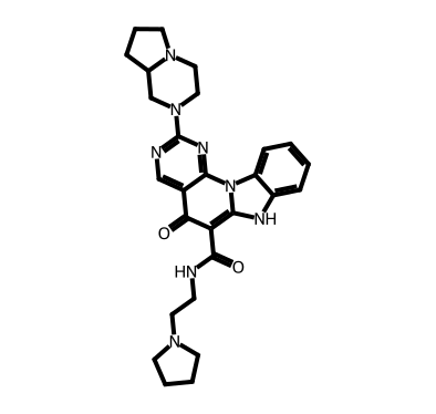 O=C(NCCN1CCCC1)c1c(=O)c2cnc(N3CCN4CCCC4C3)nc2n2c1[nH]c1ccccc12